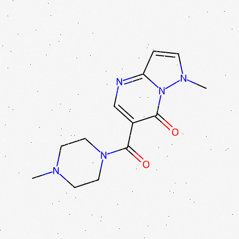 CN1CCN(C(=O)c2cnc3ccn(C)n3c2=O)CC1